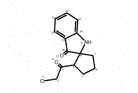 O=C(CCl)C1CCCC12Nc1ccccc1C2=O